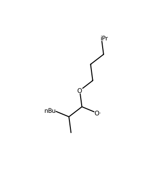 CCCCC(C)C([O])OCCCC(C)C